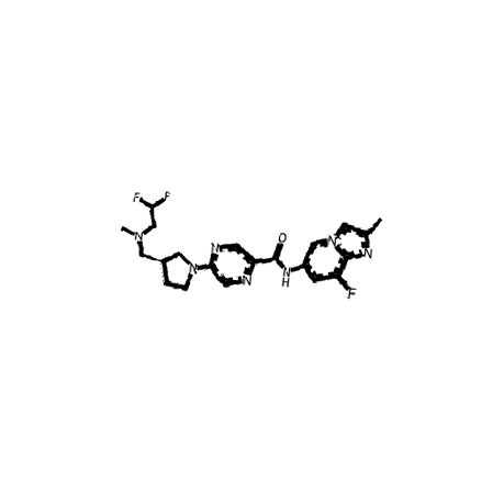 Cc1cn2cc(NC(=O)c3cnc(N4CC[C@@H](CN(C)CC(F)F)C4)cn3)cc(F)c2n1